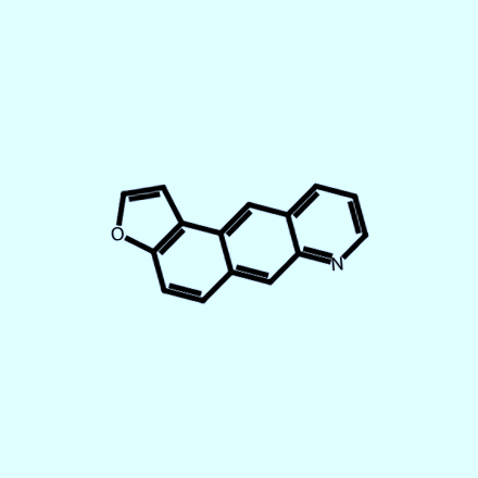 c1cnc2cc3ccc4occc4c3cc2c1